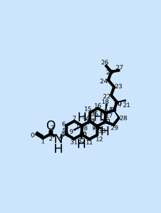 C=CC(=O)N[C@@H]1CC[C@@]2(C)[C@H](CC[C@@H]3[C@@H]2CC[C@]2(C)[C@@H]([C@H](C)CCCC(C)C)CC[C@@H]32)C1